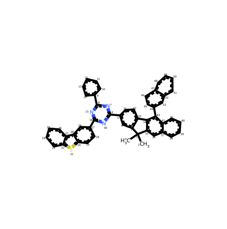 CC1(C)c2cc(-c3nc(-c4ccccc4)nc(-c4ccc5sc6ccccc6c5c4)n3)ccc2-c2c1cc1ccccc1c2-c1ccc2ccccc2c1